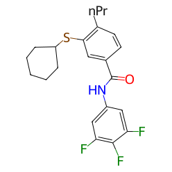 CCCc1ccc(C(=O)Nc2cc(F)c(F)c(F)c2)cc1SC1CCCCC1